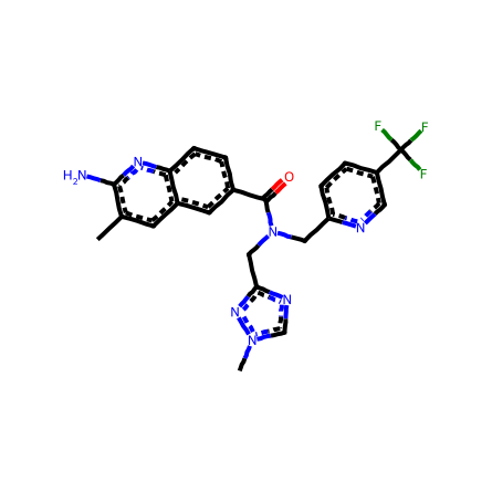 Cc1cc2cc(C(=O)N(Cc3ccc(C(F)(F)F)cn3)Cc3ncn(C)n3)ccc2nc1N